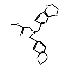 COC(=O)CN(Cc1ccc2c(c1)OCCO2)Cc1ccc2c(c1)OCCO2